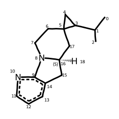 CC(C)C1CC12CCN1c3ncccc3C[C@@H]1C2